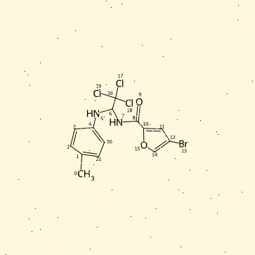 Cc1ccc(NC(NC(=O)c2cc(Br)co2)C(Cl)(Cl)Cl)cc1